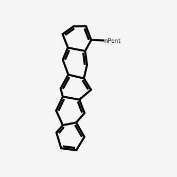 CCCCCc1cccc2cc3cc4cc5ccccc5cc4cc3cc12